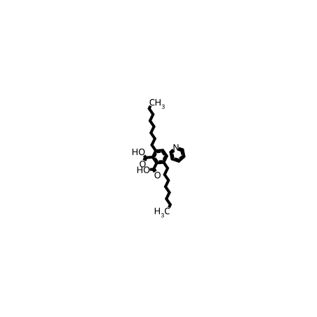 CCCCCCCCc1ccc(CCCCCCCC)c(C(=O)O)c1C(=O)O.c1ccncc1